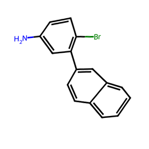 Nc1ccc(Br)c(-c2ccc3ccccc3c2)c1